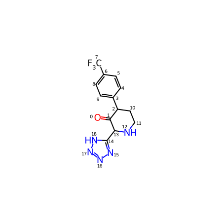 O=C1C(c2ccc(C(F)(F)F)cc2)CCNC1c1nnn[nH]1